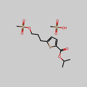 CC(C)OC(=O)c1ccc(CCCOS(C)(=O)=O)s1.CS(=O)(=O)O